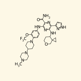 CN1CCN(C2CCN(c3ccc(Nc4nc(NC5CCOCC56CC6)c(-c5cc[nH]n5)nc4C(N)=O)cc3OC(F)(F)F)CC2)CC1